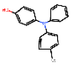 CCc1ccc(N(c2ccccc2)c2ccc(O)cc2)cc1